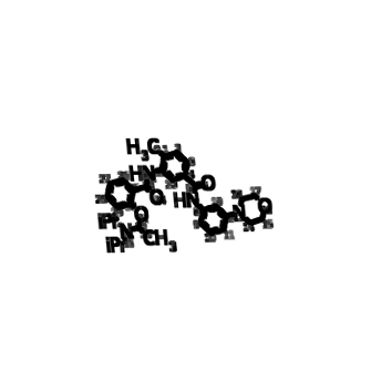 Cc1ccc(C(=O)Nc2cccc(N3CCOCC3)c2)cc1NC(=O)c1ccccc1OC(C)N(C(C)C)C(C)C